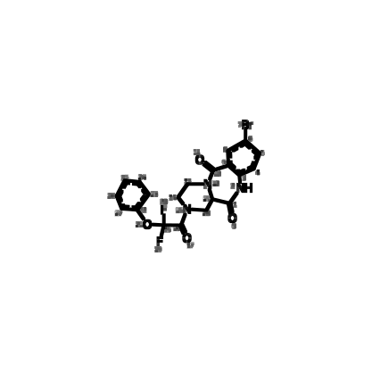 O=C1Nc2ccc(Br)cc2C(=O)N2CCN(C(=O)C(F)(F)Oc3ccccc3)CC12